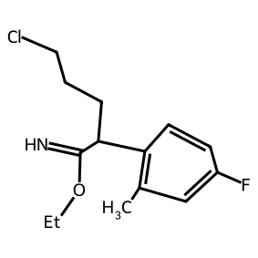 CCOC(=N)C(CCCCl)c1ccc(F)cc1C